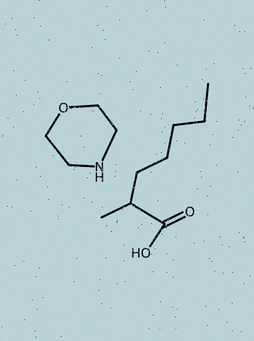 C1COCCN1.CCCCCC(C)C(=O)O